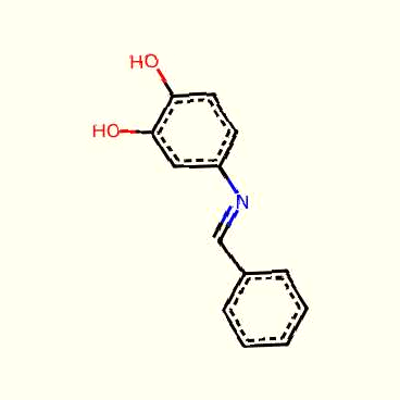 Oc1ccc(N=Cc2ccccc2)cc1O